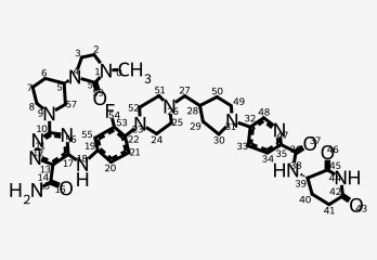 CN1CCN([C@@H]2CCCN(c3nnc(C(N)=O)c(Nc4ccc(N5CCN(CC6CCN(c7ccc(C(=O)N[C@H]8CCC(=O)NC8=O)nc7)CC6)CC5)c(F)c4)n3)C2)C1=O